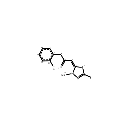 CCCCN1N=C(C)SC1=CC(=O)Cc1ccccc1Cl